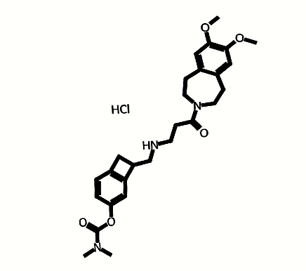 COc1cc2c(cc1OC)CCN(C(=O)CCNCC1Cc3ccc(OC(=O)N(C)C)cc31)CC2.Cl